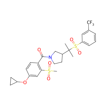 CC(C)(C1CCN(C(=O)c2ccc(OC3CC3)cc2S(C)(=O)=O)C1)S(=O)(=O)c1cccc(C(F)(F)F)c1